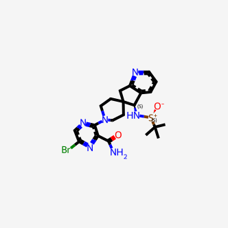 CC(C)(C)[S@@+]([O-])N[C@@H]1c2cccnc2CC12CCN(c1ncc(Br)nc1C(N)=O)CC2